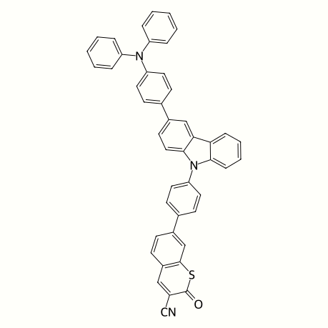 N#Cc1cc2ccc(-c3ccc(-n4c5ccccc5c5cc(-c6ccc(N(c7ccccc7)c7ccccc7)cc6)ccc54)cc3)cc2sc1=O